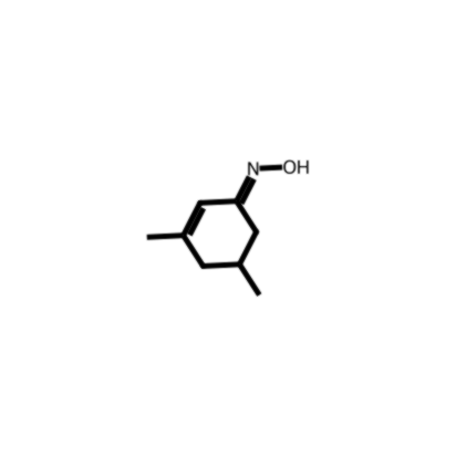 CC1=C/C(=N/O)CC(C)C1